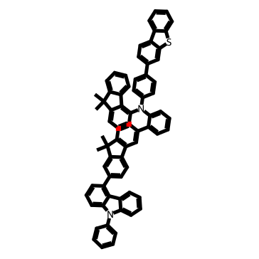 CC1(C)c2ccc(-c3ccccc3N(c3ccc(-c4ccc5c(c4)sc4ccccc45)cc3)c3cccc4c3-c3ccccc3C4(C)C)cc2-c2ccc(-c3cccc4c3c3ccccc3n4-c3ccccc3)cc21